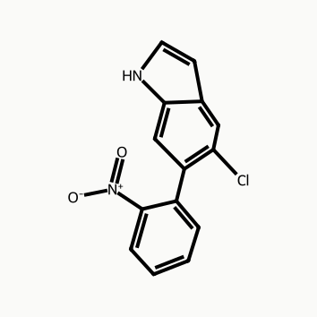 O=[N+]([O-])c1ccccc1-c1cc2[nH]ccc2cc1Cl